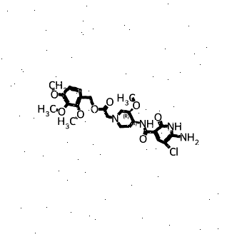 COc1ccc(COC(=O)CN2CC[C@H](NC(=O)c3cc(Cl)c(N)[nH]c3=O)[C@H](OC)C2)c(OC)c1OC